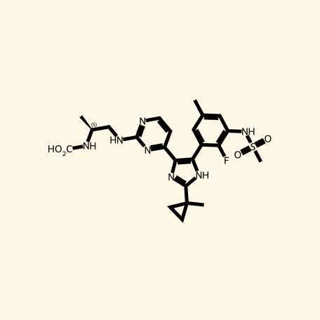 Cc1cc(NS(C)(=O)=O)c(F)c(-c2[nH]c(C3(C)CC3)nc2-c2ccnc(NC[C@H](C)NC(=O)O)n2)c1